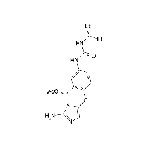 CCC(CC)NC(=O)Nc1ccc(Oc2cnc(N)s2)c(COC(C)=O)c1